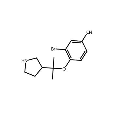 CC(C)(Oc1ccc(C#N)cc1Br)C1CCNC1